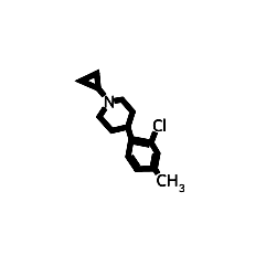 Cc1ccc(C2CCN(C3CC3)CC2)c(Cl)c1